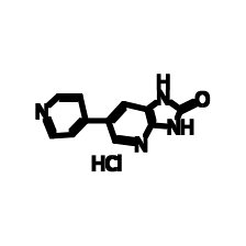 Cl.O=c1[nH]c2cc(-c3ccncc3)cnc2[nH]1